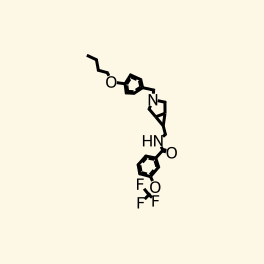 CCCCOc1ccc(CN2CC3C(CNC(=O)c4cccc(OC(F)(F)F)c4)C3C2)cc1